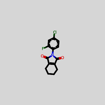 O=C1C2=C(CCCC2)C(=O)N1c1ccc(Cl)cc1F